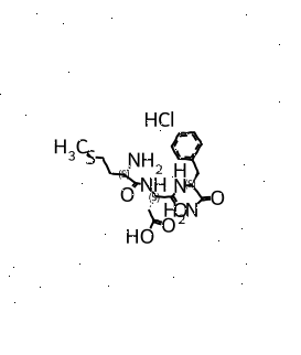 CSCC[C@H](N)C(=O)N[C@@H](CC(=O)O)C(=O)N[C@@H](Cc1ccccc1)C(N)=O.Cl